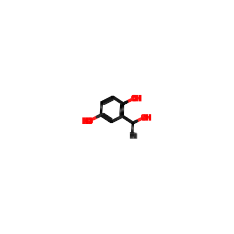 CCC(O)c1cc(O)ccc1O